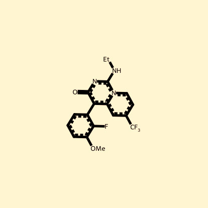 CCNc1nc(=O)c(-c2cccc(OC)c2F)c2cc(C(F)(F)F)ccn12